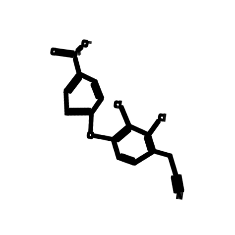 N#CCc1ccc(Oc2ccc([N+](=O)[O-])cc2)c(Cl)c1Cl